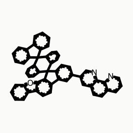 c1ccc2c(c1)-c1ccccc1C21c2ccccc2C2(c3ccc(-c4cnc5c(ccc6cccnc65)c4)cc3-c3ccc4c(oc5ccccc54)c32)c2ccccc21